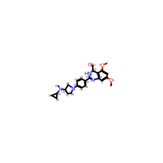 COc1cc2c(c(OC)c1)C(C=O)NC(c1ccc(N3CCC(N(C)C4CC4)C3)cc1)=N2